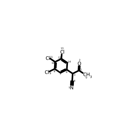 CC(=O)C(C#N)c1cc(Cl)c(Cl)c(Cl)c1